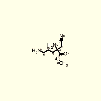 COC(=O)[C@@](N)(CC#N)CCCN